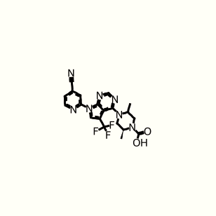 CC1CN(C(=O)O)[C@@H](C)CN1c1ncnc2c1c(C(F)(F)F)cn2-c1cc(C#N)ccn1